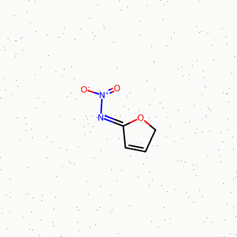 O=[N+]([O-])[N+]=C1C=CCO1